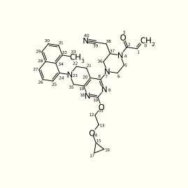 C=CC(=O)N1CCN(c2nc(OCCOC3CC3)nc3c2CCN(c2cccc4cccc(C)c24)C3)CC1CC#N